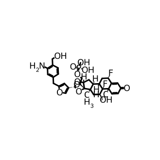 C[C@]12C=CC(=O)C=C1[C@@H](F)C[C@H]1[C@@H]3C[C@H]4O[C@@H](c5coc(Cc6ccc(CO)c(N)c6)c5)O[C@@]4(C(=O)COP(=O)(O)O)[C@@]3(C)C[C@H](O)[C@@]12F